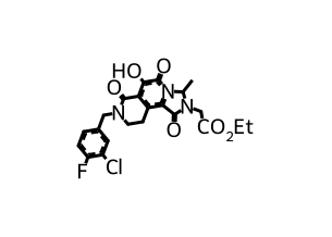 CCOC(=O)CN1C(=O)c2c3c(c(O)c(=O)n2C1C)C(=O)N(Cc1ccc(F)c(Cl)c1)CC3